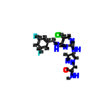 CNC(=O)Cn1cc(Nc2ncc(Cl)c(NCc3cc(F)cc(F)c3)n2)cn1